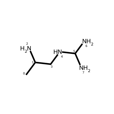 CC(N)CNC(N)N